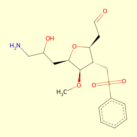 CO[C@@H]1[C@@H](CS(=O)(=O)c2ccccc2)[C@H](CC=O)O[C@@H]1CC(O)CN